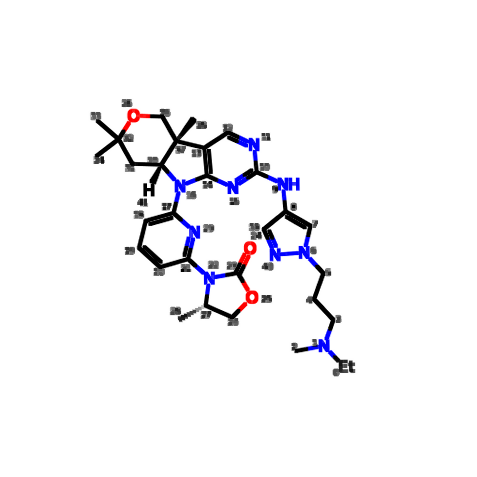 CCN(C)CCCn1cc(Nc2ncc3c(n2)N(c2cccc(N4C(=O)OC[C@@H]4C)n2)[C@@H]2CC(C)(C)OC[C@]32C)cn1